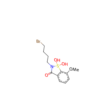 COc1cccc2c1S(O)(O)N(CCCCBr)C2=O